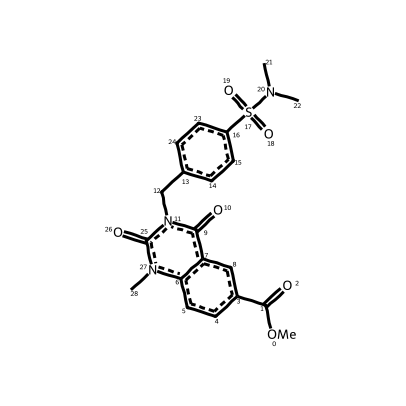 COC(=O)c1ccc2c(c1)c(=O)n(Cc1ccc(S(=O)(=O)N(C)C)cc1)c(=O)n2C